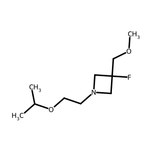 COCC1(F)CN(CCOC(C)C)C1